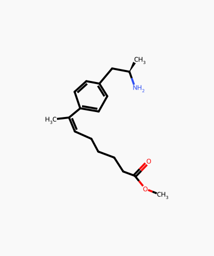 COC(=O)CCCC/C=C(/C)c1ccc(C[C@@H](C)N)cc1